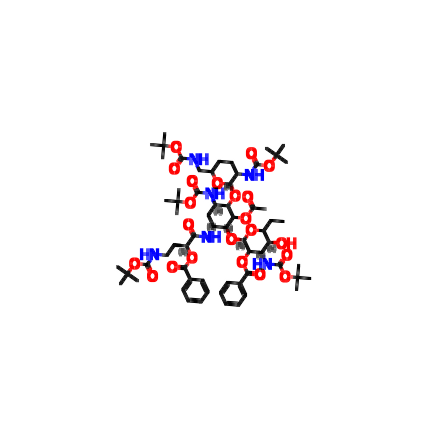 CCC1O[C@H](O[C@@H]2C(OC(C)=O)C(O[C@H]3OC(CNC(=O)OC(C)(C)C)CCC3NC(=O)OC(C)(C)C)[C@H](NC(=O)OC(C)(C)C)C[C@H]2NC(=O)[C@H](CCNC(=O)OC(C)(C)C)OC(=O)c2ccccc2)C(OC(=O)c2ccccc2)[C@@H](NC(=O)OC(C)(C)C)[C@@H]1O